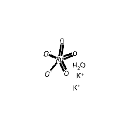 O.[K+].[K+].[O]=[Ru](=[O])(=[O])([O-])[O-]